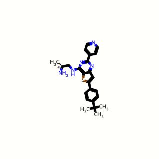 C[C@@H](N)CNc1nc(-c2ccncc2)nc2cc(-c3ccc(C(C)(C)C)cc3)sc12